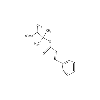 CCCCCC(C)C(C)(C)OC(=O)/C=C/c1ccccc1